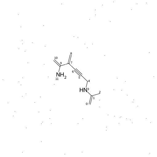 C=C(C)NCC#CC(=C)C(=C)N